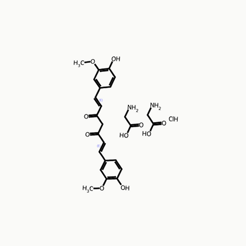 COc1cc(/C=C/C(=O)CC(=O)/C=C/c2ccc(O)c(OC)c2)ccc1O.Cl.NCC(=O)O.NCC(=O)O